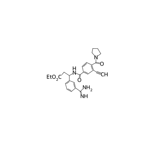 C#Cc1cc(C(=O)NC(CC(=O)OCC)c2cccc(C(=N)N)c2)ccc1C(=O)N1CCCC1